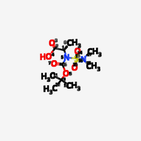 C[C@H](C(=O)O)N(C(=O)OC(C)(C)C)S(=O)(=O)N(C)C